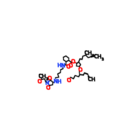 C#C/C=C\C=C(\CCCC=O)CO[C@@H]1CC(/C=C/CC(C)CC#CC)[C@H](OC(=O)C2CCCCC2C(=O)NCCCCCCNC2CC(=O)N(CCC(C)=O)C2=O)C1